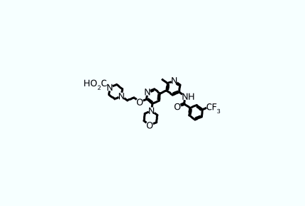 Cc1ncc(NC(=O)c2cccc(C(F)(F)F)c2)cc1-c1cnc(OCCN2CCN(C(=O)O)CC2)c(N2CCOCC2)c1